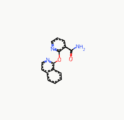 NC(=O)c1cccnc1Oc1nccc2ccccc12